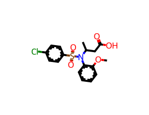 COc1ccccc1N(C(C)CC(=O)O)S(=O)(=O)c1ccc(Cl)cc1